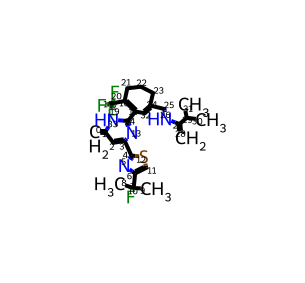 C=C1C=C(c2nc(C(C)(C)F)cs2)N=C(C2=C(C(F)(F)F)CCCC(CNC(=C)C(C)C)=C2)N1